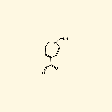 NCC1=CCC=C(C(=O)N=O)C=C1